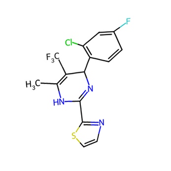 CC1=C(C(F)(F)F)C(c2ccc(F)cc2Cl)N=C(c2nccs2)N1